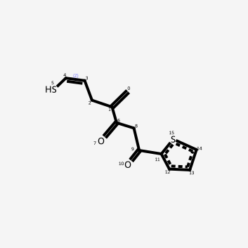 C=C(C/C=C\S)C(=O)CC(=O)c1cccs1